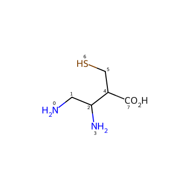 NCC(N)C(CS)C(=O)O